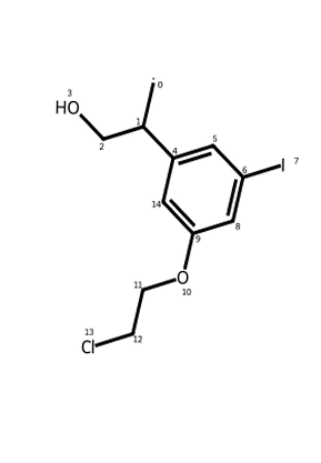 [CH2]C(CO)c1cc(I)cc(OCCCl)c1